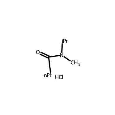 CCCC(=O)N(C)C(C)C.Cl